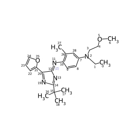 CCN(CCOC)c1ccc(/N=C2\N=C(C(C)(C)C)N=C2c2ccco2)c(C)c1